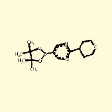 CC1(C)OB(c2cnc(C3CCOCC3)nc2)OC1(C)C